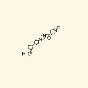 CSc1cccc(-c2ccc(N3CCN(CC(=O)N4CCN(C5CCC5)CC4)CC3)cc2)c1